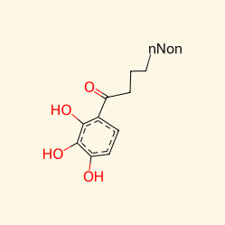 CCCCCCCCCCCCC(=O)c1ccc(O)c(O)c1O